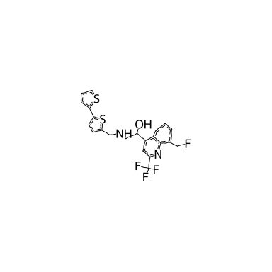 OC(CNCc1ccc(-c2cccs2)s1)c1cc(C(F)(F)F)nc2c(CF)cccc12